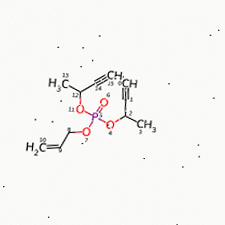 C#CC(C)OP(=O)(OCC=C)OC(C)C#C